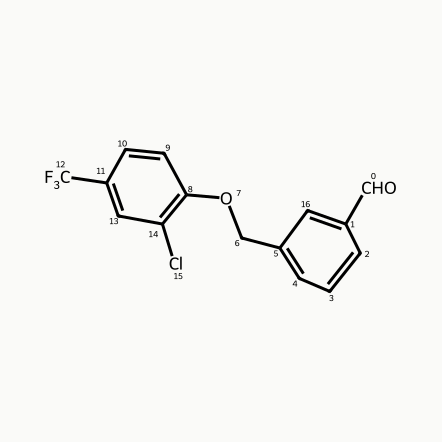 O=Cc1cccc(COc2ccc(C(F)(F)F)cc2Cl)c1